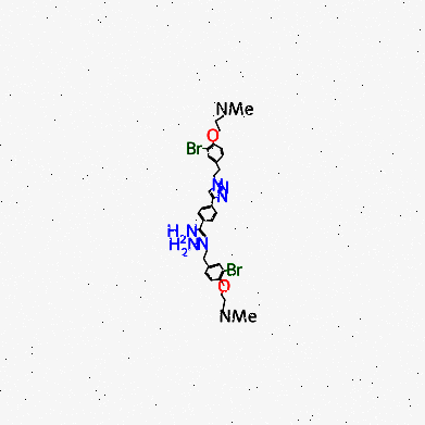 CNCCCOc1ccc(CCN(N)/C=C(\N)c2ccc(-c3cn(CCc4ccc(OCCCNC)c(Br)c4)nn3)cc2)cc1Br